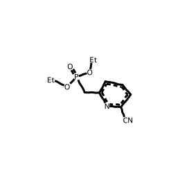 CCOP(=O)(Cc1cccc(C#N)n1)OCC